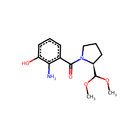 COC(OC)[C@@H]1CCCN1C(=O)c1cccc(O)c1N